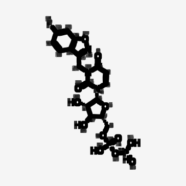 O=c1ccn([C@@H]2O[C@H](COP(=O)(O)O[PH](=O)O)C(O)[C@@H]2O)c(=O)n1Cc1noc2cc(F)ccc12